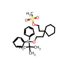 CC(C)(C)[Si](OCCC1(CCOS(C)(=O)=O)CCCCC1)(c1ccccc1)c1ccccc1